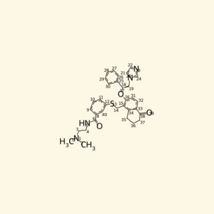 CN(C)CCNC(=O)c1cccc(SCc2c(O[C@H](Cn3ccnc3)c3ccccc3)ccc3c2CCCC3=O)c1